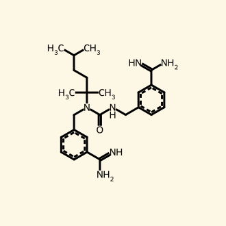 CC(C)CCC(C)(C)N(Cc1cccc(C(=N)N)c1)C(=O)NCc1cccc(C(=N)N)c1